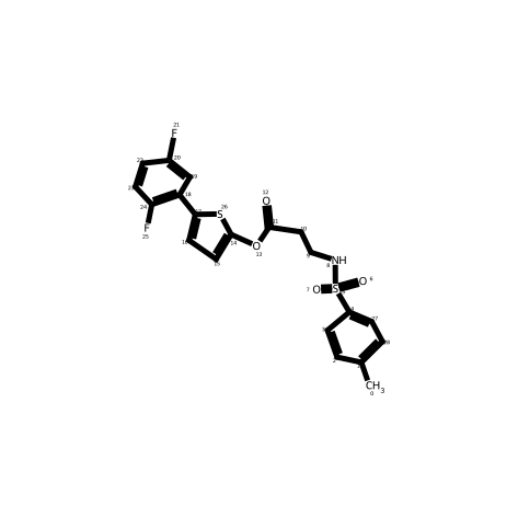 Cc1ccc(S(=O)(=O)NCCC(=O)Oc2ccc(-c3cc(F)ccc3F)s2)cc1